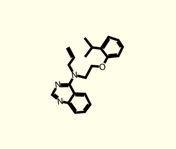 C=CCN(CCOc1ccccc1C(C)C)c1ncnc2ccccc12